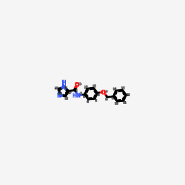 O=C(Nc1ccc(OCc2ccccc2)cc1)c1cnc[nH]1